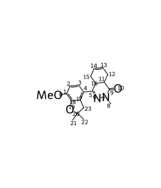 COc1ccc(C2=NN(C)C(=O)C3CC=CCC23)c2c1OC(C)(C)C2